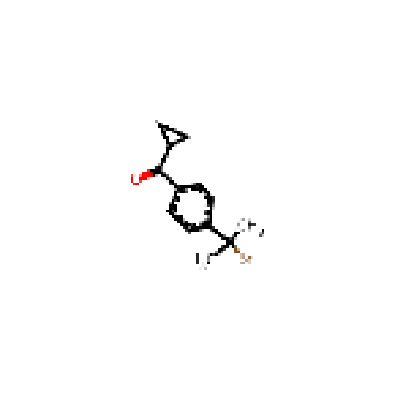 CC(C)(Br)c1ccc(C(=O)C2CC2)cc1